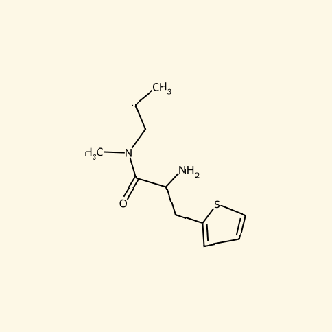 C[CH]CN(C)C(=O)C(N)Cc1cccs1